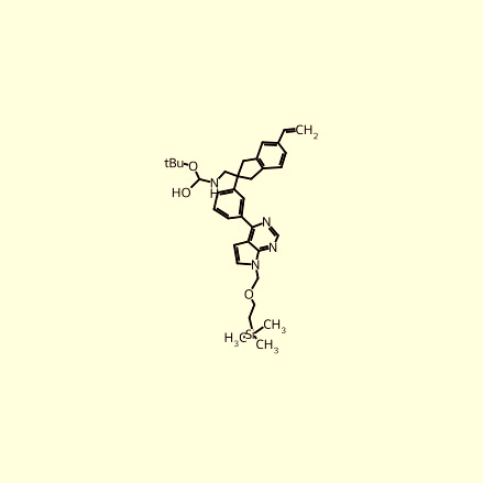 C=Cc1ccc2c(c1)CC(CNC(O)OC(C)(C)C)(c1cccc(-c3ncnc4c3ccn4COCC[Si](C)(C)C)c1)C2